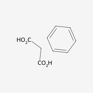 O=C(O)CC(=O)O.c1ccccc1